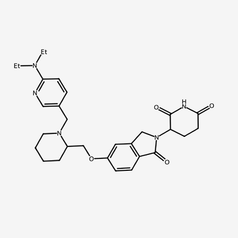 CCN(CC)c1ccc(CN2CCCCC2COc2ccc3c(c2)CN(C2CCC(=O)NC2=O)C3=O)cn1